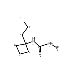 CC(C)NC(=O)NC1(CCF)CCC1